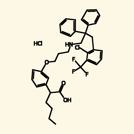 CCCCC(C(=O)O)c1cccc(OCCCNCC(Cc2cccc(C(F)(F)F)c2Cl)(c2ccccc2)c2ccccc2)c1.Cl